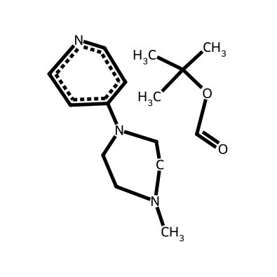 CC(C)(C)OC=O.CN1CCN(c2ccncc2)CC1